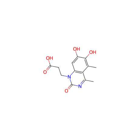 Cc1nc(=O)n(CCC(=O)O)c2cc(O)c(O)c(C)c12